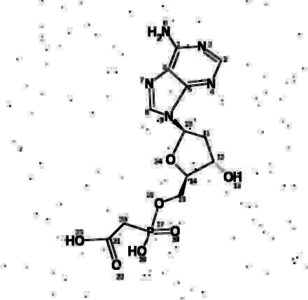 Nc1ncnc2c1ncn2[C@H]1C[C@H](O)[C@@H](COP(=O)(O)CC(=O)O)O1